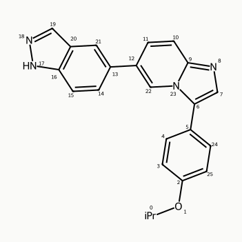 CC(C)Oc1ccc(-c2cnc3ccc(-c4ccc5[nH]ncc5c4)cn23)cc1